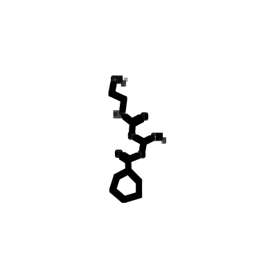 [CH2]CCNC(=O)OC(C)OC(=O)C1CCCCC1